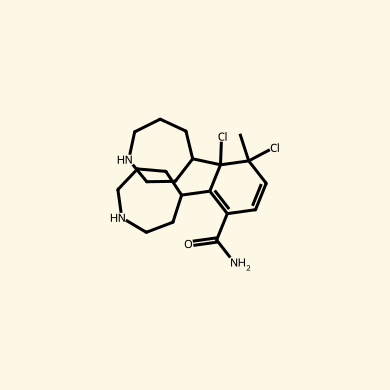 CC1(Cl)C=CC(C(N)=O)=C(C2CCCNCC2)C1(Cl)C1CCCNCC1